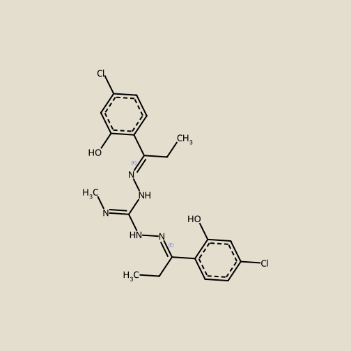 CC/C(=N\NC(=NC)N/N=C(\CC)c1ccc(Cl)cc1O)c1ccc(Cl)cc1O